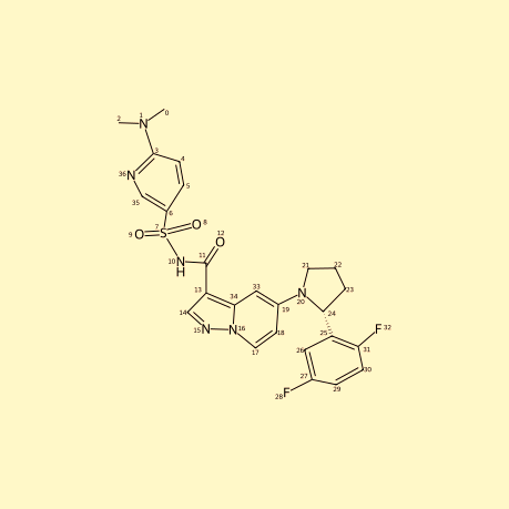 CN(C)c1ccc(S(=O)(=O)NC(=O)c2cnn3ccc(N4CCC[C@@H]4c4cc(F)ccc4F)cc23)cn1